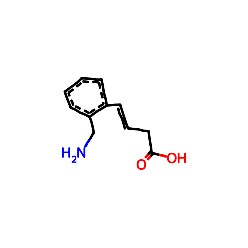 NCc1ccccc1/C=C/CC(=O)O